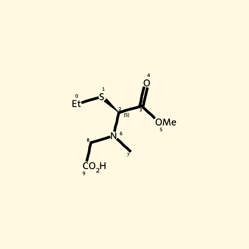 CCS[C@@H](C(=O)OC)N(C)CC(=O)O